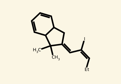 CC/C=C(I)\C=C1/CC2C=CC=CC2C1(C)C